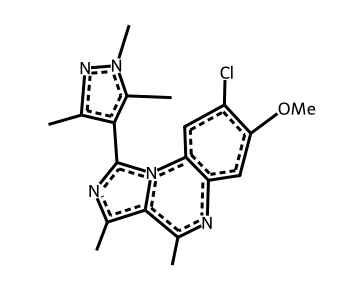 COc1cc2nc(C)c3c(C)nc(-c4c(C)nn(C)c4C)n3c2cc1Cl